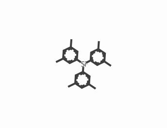 Cc1cc(C)cc([Si](c2cc(C)cc(C)c2)c2cc(C)cc(C)c2)c1